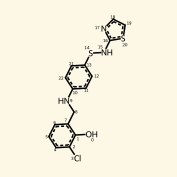 Oc1c(Cl)cccc1CNc1ccc(SNc2nccs2)cc1